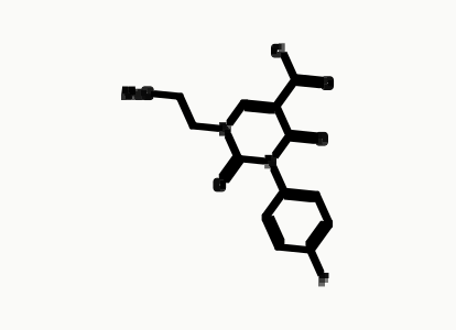 COCCn1cc(C(=O)Cl)c(=O)n(-c2ccc(F)cc2)c1=O